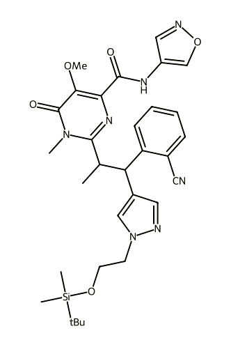 COc1c(C(=O)Nc2cnoc2)nc(C(C)C(c2cnn(CCO[Si](C)(C)C(C)(C)C)c2)c2ccccc2C#N)n(C)c1=O